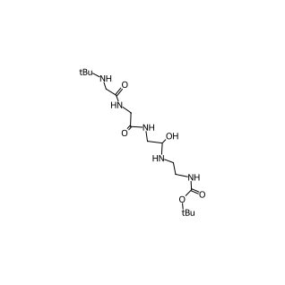 CC(C)(C)NCC(=O)NCC(=O)NCC(O)NCCNC(=O)OC(C)(C)C